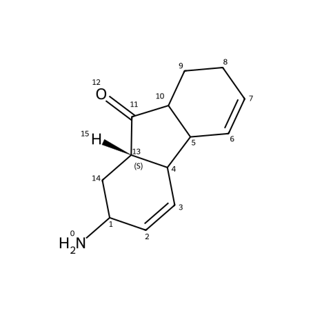 NC1C=CC2C3C=CCCC3C(=O)[C@H]2C1